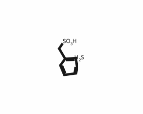 O=S(=O)(O)Cc1ccccc1.S